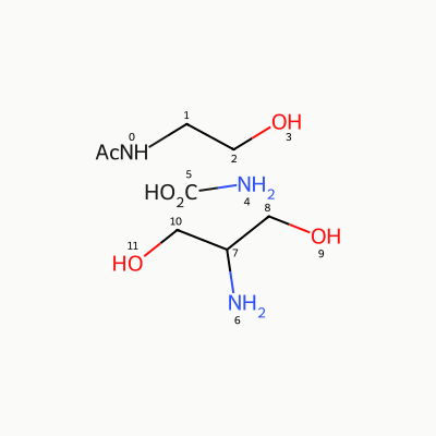 CC(=O)NCCO.NC(=O)O.NC(CO)CO